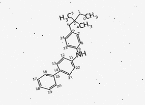 CCC(C)(C)Cc1ccc(Nc2ccc(-c3ccccc3)cc2)cc1